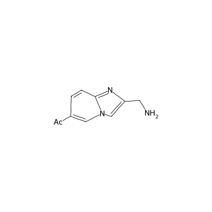 CC(=O)c1ccc2nc(CN)cn2c1